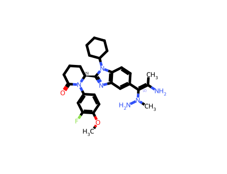 COc1ccc(N2C(=O)CCC[C@H]2c2nc3cc(/C(=C(\C)N)N(C)N)ccc3n2C2CCCCC2)cc1F